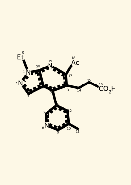 CCn1ncc2c(-c3cncc(C)c3)c(CCC(=O)O)c(C(C)=O)nc21